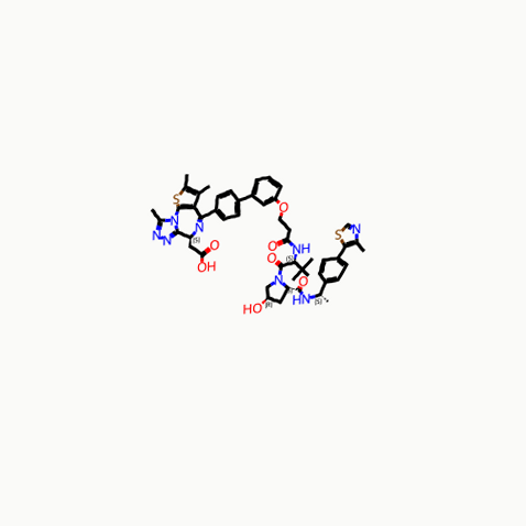 Cc1ncsc1-c1ccc([C@H](C)NC(=O)[C@@H]2C[C@@H](O)CN2C(=O)[C@@H](NC(=O)CCOc2cccc(-c3ccc(C4=N[C@@H](CC(=O)O)c5nnc(C)n5-c5sc(C)c(C)c54)cc3)c2)C(C)(C)C)cc1